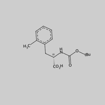 Cc1ccccc1C[C@H](NC(=O)OC(C)(C)C)C(=O)O